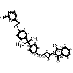 CC(C)(c1ccc(OCc2ccnc(Cl)n2)cc1)c1ccc(OC2CC(N3C(=O)c4ccccc4C3=O)C2)cc1